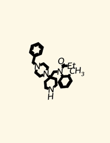 CCC(=O)N(CC1(N2CCN(Cc3ccccc3)CC2)CCNCC1)C1C=CC=CC1C